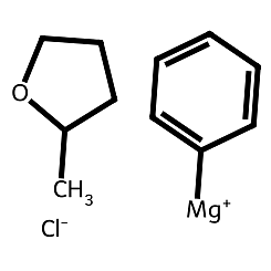 CC1CCCO1.[Cl-].[Mg+][c]1ccccc1